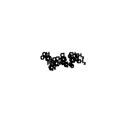 COc1cc(C(=O)N2CCC(CCN3CCC(NC(=O)N4CCC(C(=O)O)CC4)(c4ccccn4)CC3)(c3ccc(Cl)c(Cl)c3)C2)cc(OC)c1OC